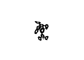 C1=Cc2ccccc2N2B1c1cc(-c3ccccc3)cc(-c3ccccc3)c1-c1ccc(-c3cc(-c4ccccc4)nc(-c4ccccc4)c3)cc12